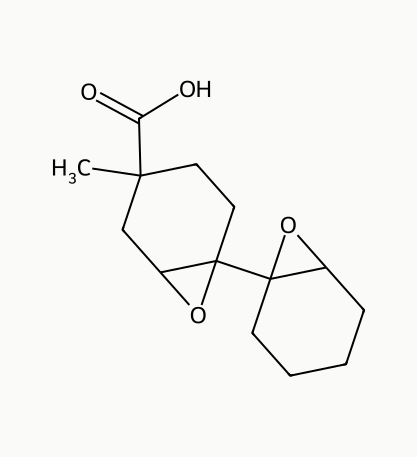 CC1(C(=O)O)CCC2(C34CCCCC3O4)OC2C1